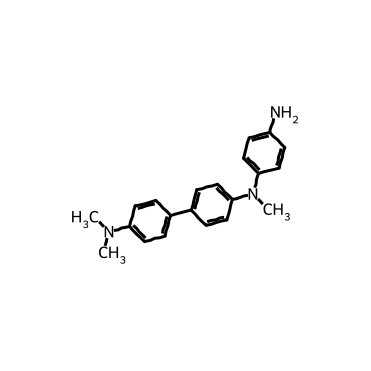 CN(C)c1ccc(-c2ccc(N(C)c3ccc(N)cc3)cc2)cc1